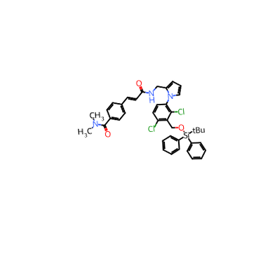 CN(C)C(=O)c1ccc(/C=C/C(=O)NCc2cccn2-c2ccc(Cl)c(CO[Si](c3ccccc3)(c3ccccc3)C(C)(C)C)c2Cl)cc1